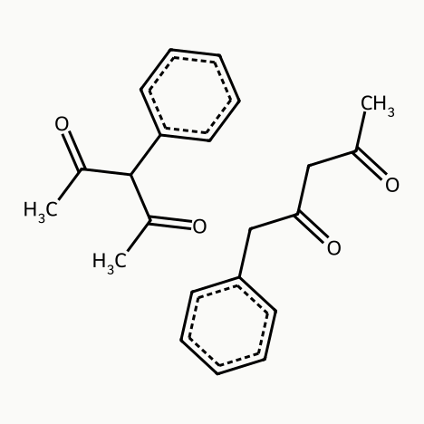 CC(=O)C(C(C)=O)c1ccccc1.CC(=O)CC(=O)Cc1ccccc1